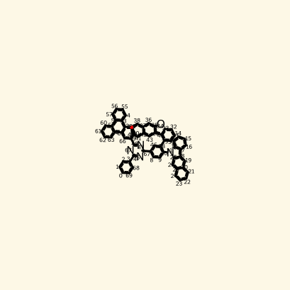 c1ccc(-c2nc(-c3ccc(-n4c5ccccc5c5cc6ccccc6cc54)c(-c4cccc5oc6cc7ccccc7cc6c45)c3)nc(-c3ccc4c5ccccc5c5ccccc5c4c3)n2)cc1